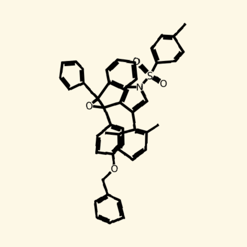 Cc1ccc(S(=O)(=O)n2cc(-c3c(C)cccc3C)c(C3(c4ccc(OCc5ccccc5)cc4)OC3(c3ccccc3)c3ccccc3)c2)cc1